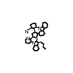 C=C/C=C\c1c(C)n(-c2cccnc2-c2cccc(-c3c(C#N)cccc3-n3c4ccccc4c4ccccc43)c2)c2ccccc12